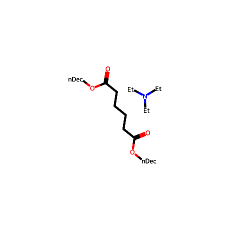 CCCCCCCCCCOC(=O)CCCCC(=O)OCCCCCCCCCC.CCN(CC)CC